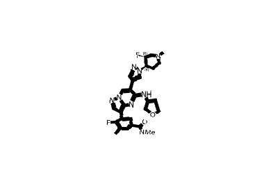 CNC(=O)c1cc(C)c(F)c(-c2cnn3cc(-c4cnn([C@@H]5CCN(C)C[C@H]5F)c4)c(NC4CCOC4)nc23)c1